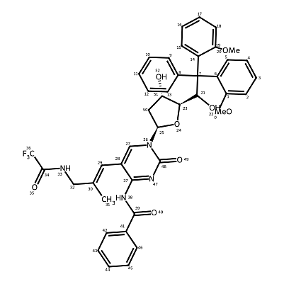 COc1ccccc1C(c1ccccc1)(c1ccccc1OC)C(O)[C@H]1O[C@@H](n2cc(/C=C(\C)CNC(=O)C(F)(F)F)c(NC(=O)c3ccccc3)nc2=O)C[C@@H]1O